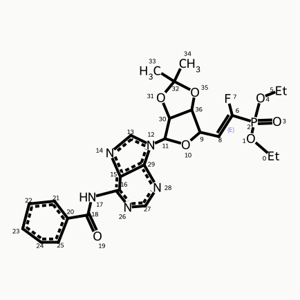 CCOP(=O)(OCC)/C(F)=C/C1OC(n2cnc3c(NC(=O)c4ccccc4)ncnc32)C2OC(C)(C)OC12